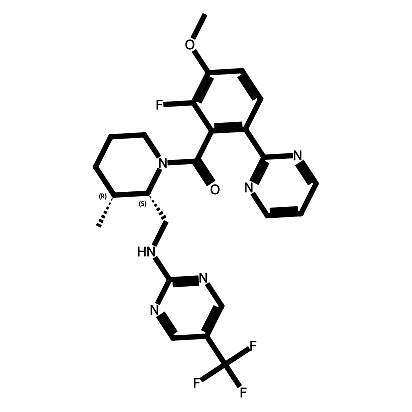 COc1ccc(-c2ncccn2)c(C(=O)N2CCC[C@@H](C)[C@H]2CNc2ncc(C(F)(F)F)cn2)c1F